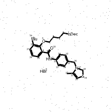 Br.CCCCCCCCCCCCCCOc1c(C(=O)Nc2ccc(CN3CSC=C3C)cc2)cccc1C(C)(C)C